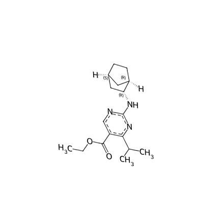 CCOC(=O)c1cnc(N[C@@H]2C[C@H]3CC[C@@H]2C3)nc1C(C)C